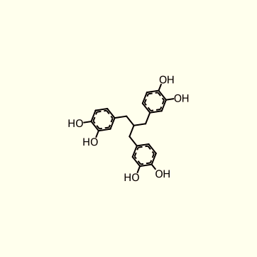 Oc1ccc(CC(Cc2ccc(O)c(O)c2)Cc2ccc(O)c(O)c2)cc1O